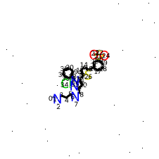 CN(C)CCCN(C)Cc1cc(-c2ccc(-c3cccc(S(C)(=O)=O)c3)s2)n(-c2ccccc2Cl)n1